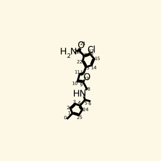 Cc1ccc(C(C)NCc2ccc(-c3ccc(Cl)c(C(N)=O)c3)o2)cc1